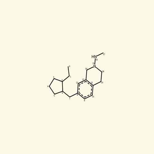 CCC1CCCC1Cc1ccc2c(c1)CN(NC)CC2